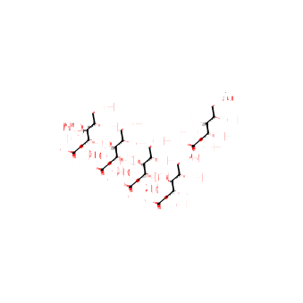 O=C([O-])C(O)(O)[C@@H](O)[C@H](O)[C@H](O)CO.O=C([O-])C(O)(O)[C@@H](O)[C@H](O)[C@H](O)CO.O=C([O-])C(O)(O)[C@@H](O)[C@H](O)[C@H](O)CO.O=C([O-])C(O)(O)[C@@H](O)[C@H](O)[C@H](O)CO.O=C([O-])C(O)(O)[C@@H](O)[C@H](O)[C@H](O)CO.[Al+3].[Mg+2]